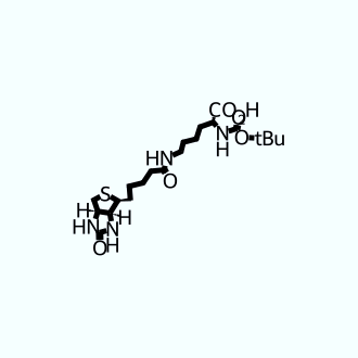 CC(C)(C)OC(=O)N[C@@H](CCCCNC(=O)CCCC[C@@H]1SC[C@@H]2NC(=O)N[C@@H]21)C(=O)O